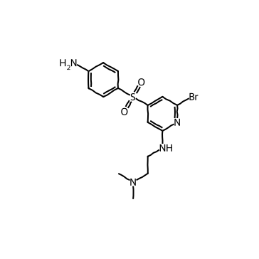 CN(C)CCNc1cc(S(=O)(=O)c2ccc(N)cc2)cc(Br)n1